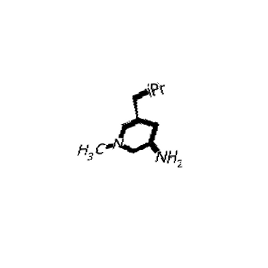 CC(C)C[C@H]1CC(N)CN(C)C1